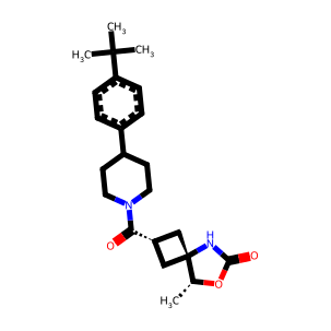 C[C@H]1OC(=O)N[C@]12C[C@@H](C(=O)N1CCC(c3ccc(C(C)(C)C)cc3)CC1)C2